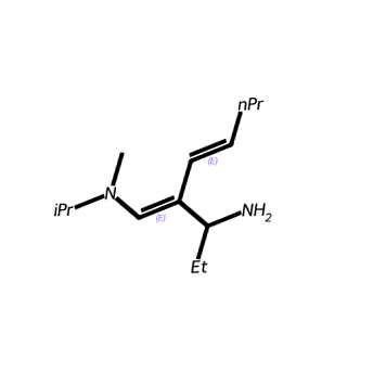 CCC/C=C/C(=C\N(C)C(C)C)C(N)CC